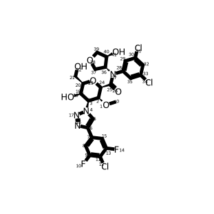 CO[C@@H]1[C@@H](n2cc(-c3cc(F)c(Cl)c(F)c3)nn2)[C@@H](O)[C@@H](CO)O[C@H]1C(=O)N(c1cc(Cl)cc(Cl)c1)[C@@H]1COC[C@H]1O